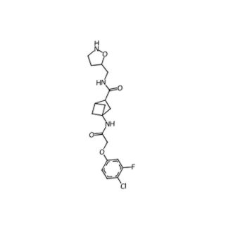 O=C(COc1ccc(Cl)c(F)c1)NC12CC(C1)C(C(=O)NCC1CCNO1)C2